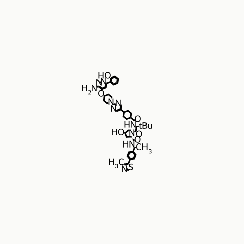 Cc1ncsc1-c1ccc([C@H](C)NC(=O)[C@@H]2C[C@@H](O)CN2C(=O)[C@@H](NC(=O)C2CCC(c3cnc(N4CCC(Oc5cc(-c6ccccc6O)nnc5N)CC4)nc3)CC2)C(C)(C)C)cc1